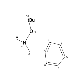 CN(Cc1ccccc1)OC(C)(C)C